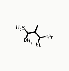 BC(B)C(C)C(CC)CCC